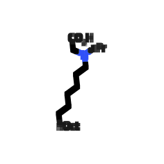 CCCCCCCCCCCCCCN(CCC)CC(=O)O